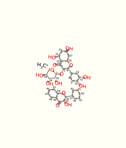 C[C@@H]1O[C@@H](Oc2c(-c3ccc(O)c(O)c3)oc3cc(O)cc(O)c3c2=O)[C@H](O)[C@H](O)[C@H]1O.O=c1c(O)c(-c2ccccc2)oc2ccccc12